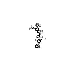 Cc1cc(Oc2ccccc2F)cc(F)c1-n1ncc(C(=O)c2cc3cc(OCC(F)F)c(N4CCOC4=O)cc3[nH]2)c1N